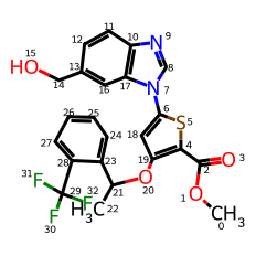 COC(=O)c1sc(-n2cnc3ccc(CO)cc32)cc1OC(C)c1ccccc1C(F)(F)F